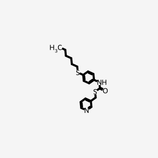 CCCCCCSc1ccc(NC(=O)SCc2cccnc2)cc1